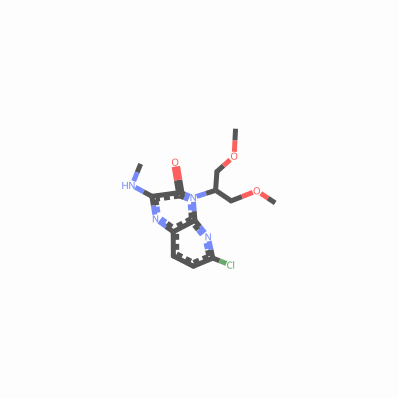 CNc1nc2ccc(Cl)nc2n(C(COC)COC)c1=O